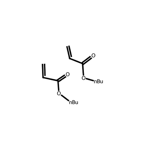 C=CC(=O)OCCCC.C=CC(=O)OCCCC